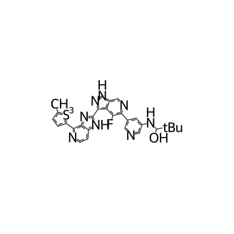 Cc1ccc(-c2nccc3[nH]c(-c4n[nH]c5cnc(-c6cncc(NC(O)C(C)(C)C)c6)c(F)c45)nc23)s1